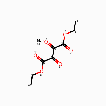 CCOC(=O)C(=O)C(=O)C(=O)OCC.[Na]